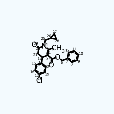 CC1=C(C(=O)OCc2ccccc2)C(c2ccc(Cl)cc2)CC(=O)N1CC1CC1